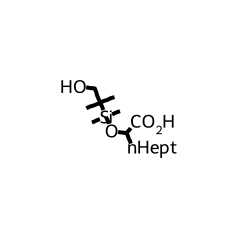 CCCCCCCC(O[Si](C)(C)C(C)(C)CO)C(=O)O